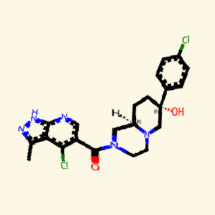 Cc1n[nH]c2ncc(C(=O)N3CCN4C[C@](O)(c5ccc(Cl)cc5)CC[C@@H]4C3)c(Cl)c12